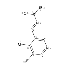 CC(C)(C)[S+]([O-])N=Cc1cncc(F)c1Cl